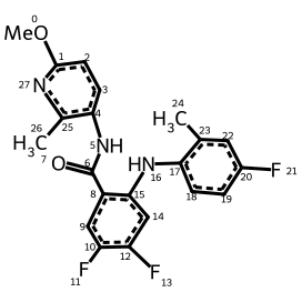 COc1ccc(NC(=O)c2cc(F)c(F)cc2Nc2ccc(F)cc2C)c(C)n1